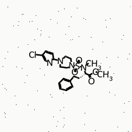 COC(=O)[C@H](CCc1ccccc1)N(C)S(=O)(=O)N1CCN(c2ccc(Cl)cn2)CC1